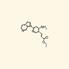 CCOC(=O)C=Cc1cnc(-n2ccc3ccncc32)cc1N